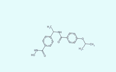 CC(C)Oc1ccc(C(=O)NC(C)c2ccc(C(=O)NO)cc2)cc1